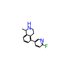 CC1NCCc2c(-c3ccc(F)nc3)cccc21